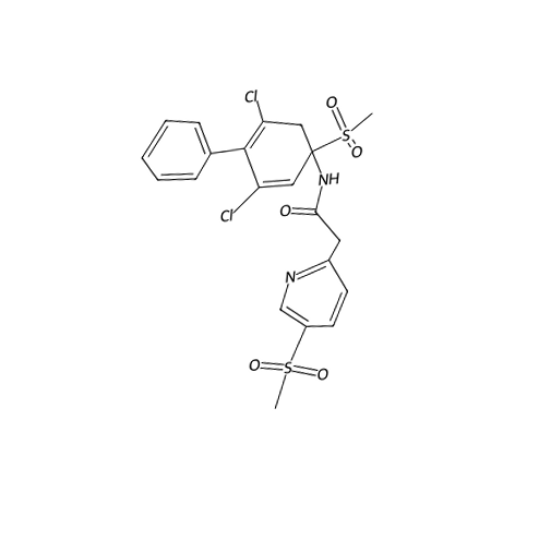 CS(=O)(=O)c1ccc(CC(=O)NC2(S(C)(=O)=O)C=C(Cl)C(c3ccccc3)=C(Cl)C2)nc1